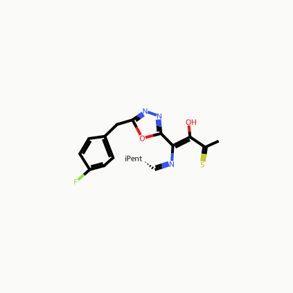 CCC[C@@H](C)/C=N\C(=C(\O)C(C)=S)c1nnc(Cc2ccc(F)cc2)o1